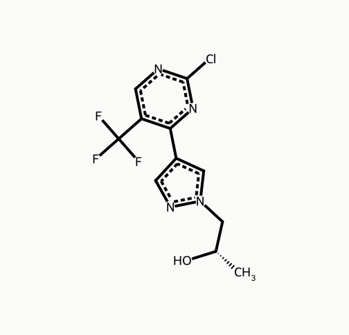 C[C@H](O)Cn1cc(-c2nc(Cl)ncc2C(F)(F)F)cn1